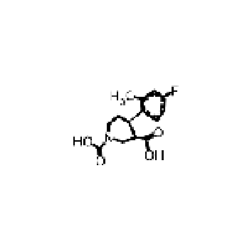 Cc1cc(F)ccc1[C@@H]1CCN(C(=O)O)C[C@@H]1C(=O)O